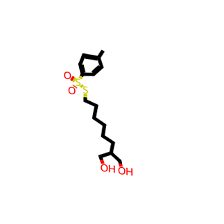 Cc1ccc(S(=O)(=O)SCCCCCCC(CO)CO)cc1